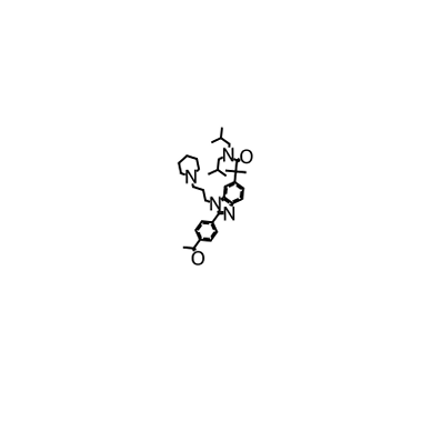 CC(=O)c1ccc(-c2nc3ccc(C(C)(C)C(=O)N(CC(C)C)CC(C)C)cc3n2CCCN2CCCCC2)cc1